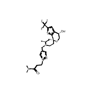 C[C@H]1C[C@@]2(CCN1Cc1cnn(CCC(=O)N(C)C)c1)OC[C@@H](O)c1cc(C(F)(F)F)sc12